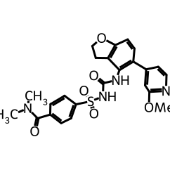 COc1cc(-c2ccc3c(c2NC(=O)NS(=O)(=O)c2ccc(C(=O)N(C)C)cc2)CCO3)ccn1